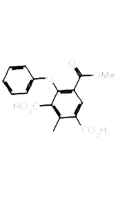 COC(=O)c1cc(C(=O)O)c(C)c(C(=O)O)c1Oc1ccccc1